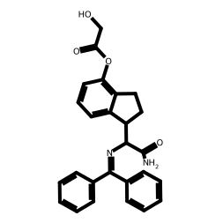 NC(=O)C(N=C(c1ccccc1)c1ccccc1)C1CCc2c(OC(=O)CO)cccc21